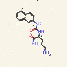 NCCC[C@H](NC(=O)Nc1ccc2ccccc2c1)C(N)=O